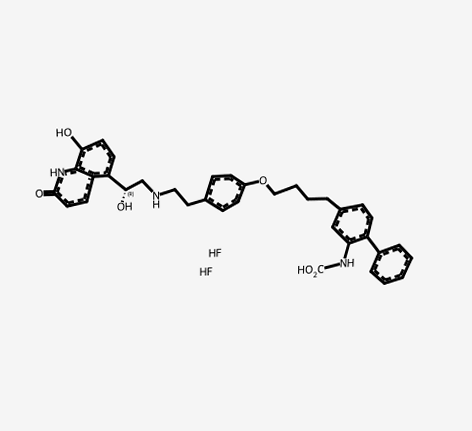 F.F.O=C(O)Nc1cc(CCCCOc2ccc(CCNC[C@H](O)c3ccc(O)c4[nH]c(=O)ccc34)cc2)ccc1-c1ccccc1